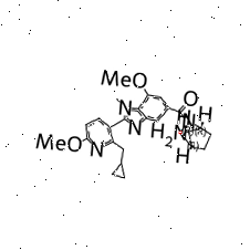 COc1ccc(-c2nc3cc(C(=O)N4C[C@H]5CC[C@@H]4[C@@H]5N)cc(OC)c3n2C)c(CC2CC2)n1